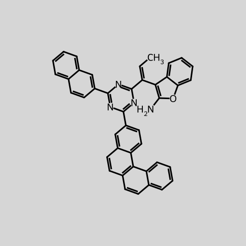 C/C=C(/c1nc(-c2ccc3ccccc3c2)nc(-c2ccc3c(ccc4ccc5ccccc5c43)c2)n1)c1c(N)oc2ccccc12